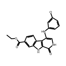 CCOC(=O)c1ccc2c(c1)[nH]c1c(=O)[nH]cc(Nc3cccc(Cl)c3)c12